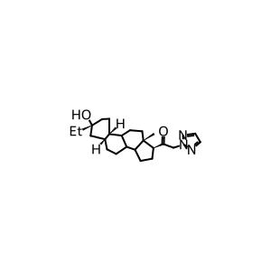 CC[C@@]1(O)CC[C@@H]2C3CC[C@@]4(C)C(CC[C@@H]4C(=O)Cn4nccn4)C3CC[C@@H]2C1